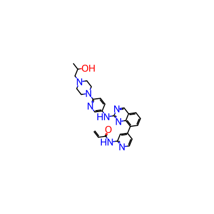 C=CC(=O)Nc1cc(-c2cccc3cnc(Nc4ccc(N5CCN(CC(C)O)CC5)nc4)nc23)ccn1